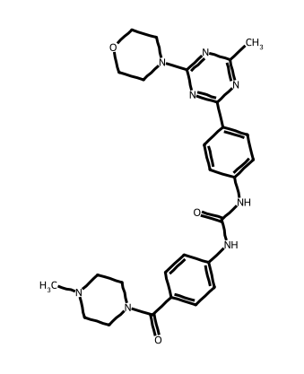 Cc1nc(-c2ccc(NC(=O)Nc3ccc(C(=O)N4CCN(C)CC4)cc3)cc2)nc(N2CCOCC2)n1